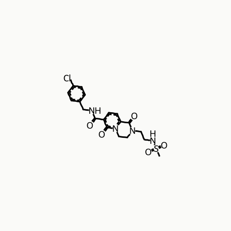 CS(=O)(=O)NCCN1CCn2c(ccc(C(=O)NCc3ccc(Cl)cc3)c2=O)C1=O